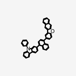 c1ccc(-n2c3ccccc3c3ccc(-c4ccc(-c5ccc6oc7cc8ccccc8cc7c6c5)c5ccccc45)cc32)cc1